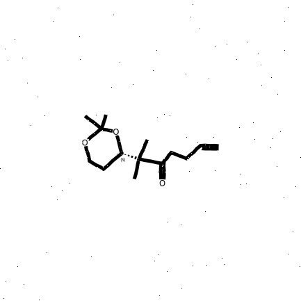 C=CCCC(=O)C(C)(C)[C@@H]1CCOC(C)(C)O1